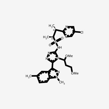 COCCC(OC)n1c(NS(=O)(=O)[C@@H](C)[C@H](C)c2ncc(Cl)cn2)nnc1-c1nn(C)c2ccc(C)cc12